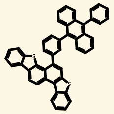 c1ccc(-c2c3ccccc3c(-c3cccc(-c4cc5sc6ccccc6c5c5ccc6c7ccccc7sc6c45)c3)c3ccccc23)cc1